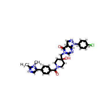 Cc1ncc(-c2ccc(C(=O)N3CCC(O)(Cn4cnc5c(cnn5-c5ccc(Cl)cc5)c4=O)CC3)cc2)n1C